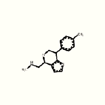 CNCC1OCC(c2ccc(C)cc2)c2sccc21